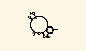 Cc1cc(O)c2c(c1)CCCC[C@H](O)C(=O)CCC[C@H](C)OC2=O